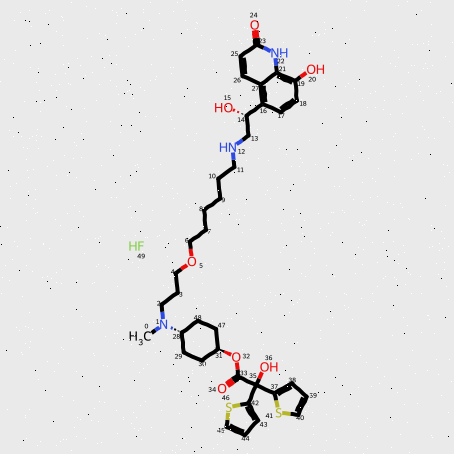 CN(CCCOCCCCCCNC[C@H](O)c1ccc(O)c2[nH]c(=O)ccc12)[C@H]1CC[C@H](OC(=O)C(O)(c2cccs2)c2cccs2)CC1.F